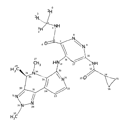 [2H]C([2H])([2H])NC(=O)c1nnc(NC(=O)C2CC2)cc1Nc1nccc2c1N(C)[C@H](C)c1nn(C)nc1-2